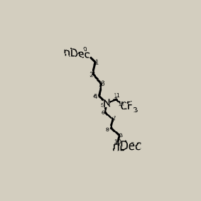 CCCCCCCCCCCCCCN(CCCCCCCCCCCCCC)CC(F)(F)F